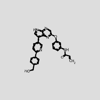 C=CC(=O)Nc1cccc(Oc2cnc3[nH]cc(-c4ccc(-c5ccc(CO)cc5)nc4)c3n2)c1